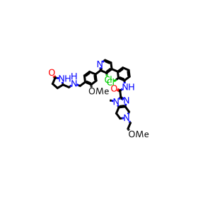 COCCN1CCc2c(nc(C(=O)Nc3cccc(-c4ccnc(-c5ccc(CNCC6CCC(=O)N6)c(OC)c5)c4Cl)c3Cl)n2C)C1